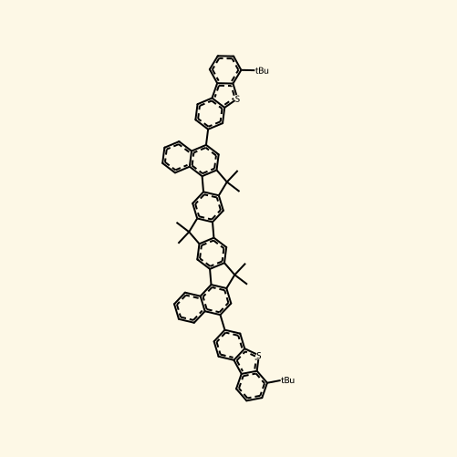 CC(C)(C)c1cccc2c1sc1cc(-c3cc4c(c5ccccc35)-c3cc5c(cc3C4(C)C)-c3cc4c(cc3C5(C)C)-c3c(cc(-c5ccc6c(c5)sc5c(C(C)(C)C)cccc56)c5ccccc35)C4(C)C)ccc12